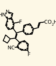 N#Cc1cc(F)ccc1C(=C(c1ccc(C=CC(=O)O)cc1)c1ccc2[nH]ncc2c1F)C1CCC1